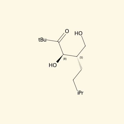 CC(C)CC[C@@H](CO)[C@@H](O)C(=O)C(C)(C)C